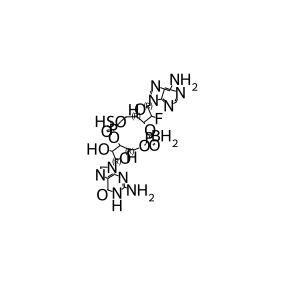 BP1(=O)OC[C@H]2O[C@@H](n3cnc4c(=O)[nH]c(N)nc43)C(O)C2OP(=O)(S)OC[C@H]2O[C@@H](n3cnc4c(N)ncnc43)C(F)C2O1